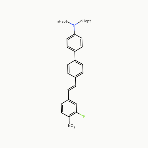 CCCCCCCN(CCCCCCC)c1ccc(-c2ccc(/C=C/c3ccc([N+](=O)[O-])c(F)c3)cc2)cc1